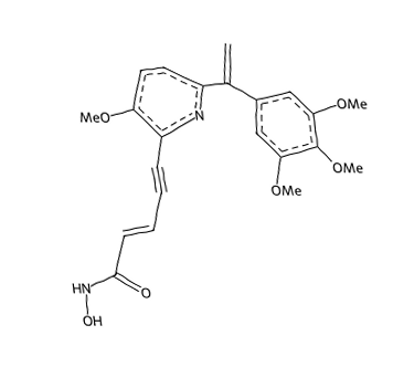 C=C(c1cc(OC)c(OC)c(OC)c1)c1ccc(OC)c(C#C/C=C/C(=O)NO)n1